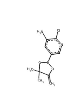 C=C1OB(c2cnc(Cl)c(N)c2)OC1(C)C